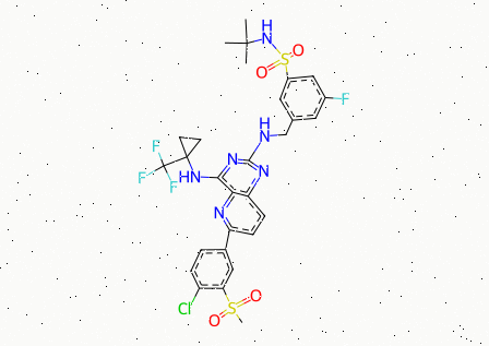 CC(C)(C)NS(=O)(=O)c1cc(F)cc(CNc2nc(NC3(C(F)(F)F)CC3)c3nc(-c4ccc(Cl)c(S(C)(=O)=O)c4)ccc3n2)c1